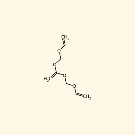 C=COCOC(=C)OCOC=C